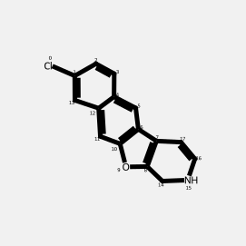 Clc1ccc2cc3c4c(oc3cc2c1)CNC=C4